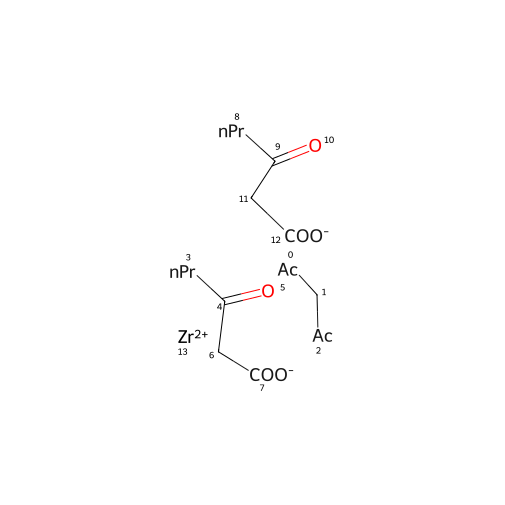 CC(=O)CC(C)=O.CCCC(=O)CC(=O)[O-].CCCC(=O)CC(=O)[O-].[Zr+2]